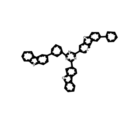 c1ccc(-c2ccc3oc4cc(-c5nc(-c6cccc(-c7ccc8sc9ccccc9c8c7)c6)nc(-c6ccc7c(c6)oc6ccccc67)n5)ccc4c3c2)cc1